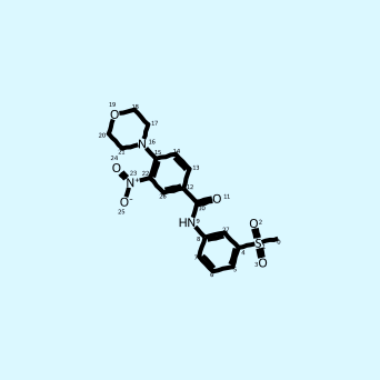 CS(=O)(=O)c1cccc(NC(=O)c2ccc(N3CCOCC3)c([N+](=O)[O-])c2)c1